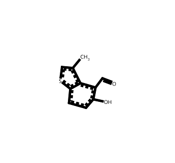 Cc1csc2ccc(O)c(C=O)c12